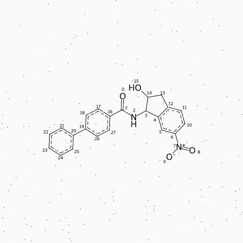 O=C(NC1c2cc([N+](=O)[O-])ccc2CC1O)c1ccc(-c2ccccc2)cc1